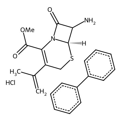 C=C(C)C1=C(C(=O)OC)N2C(=O)C(N)[C@H]2SC1.Cl.c1ccc(-c2ccccc2)cc1